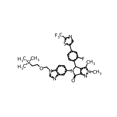 Cc1c2c(nn1C)C(=O)N(c1ccc3c(c1)ncn3COCC[Si](C)(C)C)C2c1ccc(-c2cnc(C(F)(F)F)s2)cc1F